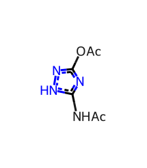 CC(=O)Nc1nc(OC(C)=O)n[nH]1